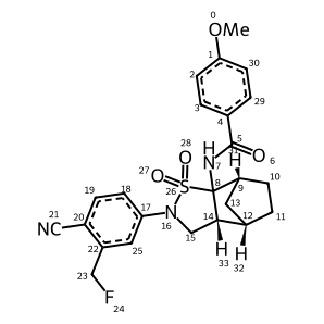 COc1ccc(C(=O)NC23[C@@H]4CC[C@@H](C4)[C@@H]2CN(c2ccc(C#N)c(CF)c2)S3(=O)=O)cc1